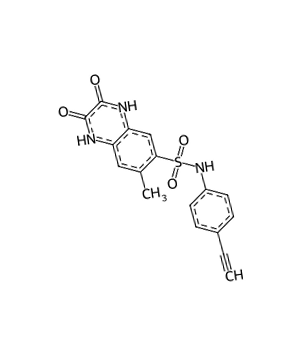 C#Cc1ccc(NS(=O)(=O)c2cc3[nH]c(=O)c(=O)[nH]c3cc2C)cc1